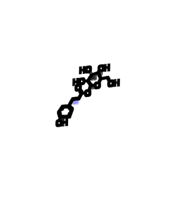 O=C(/C=C/c1ccc(O)cc1)O[C@@H]1OC(CO)[C@@H](O)[C@@H](O)C1O